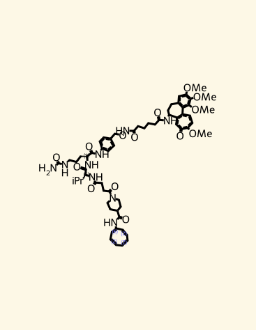 COc1cc2c(c(OC)c1OC)-c1ccc(OC)c(=O)cc1C(NC(=O)CCCCC(=O)NOCc1ccc(NC(=O)[C@H](CCCNC(N)=O)NC(=O)[C@@H](NC(=O)CCC(=O)N3CCC(C(=O)NC4=C/C=C\C=C/C=C\4)CC3)C(C)C)cc1)CC2